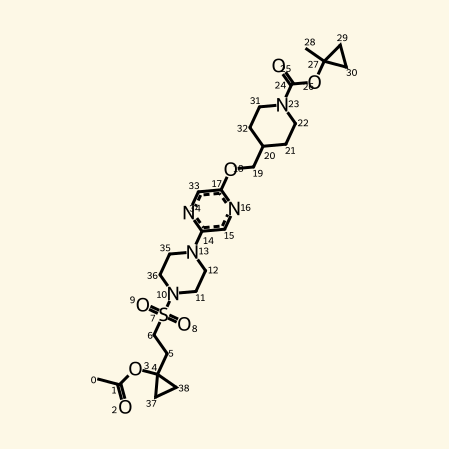 CC(=O)OC1(CCS(=O)(=O)N2CCN(c3cnc(OCC4CCN(C(=O)OC5(C)CC5)CC4)cn3)CC2)CC1